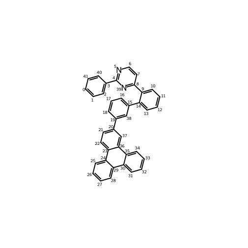 c1ccc(-c2nccc(-c3ccccc3-c3cccc(-c4ccc5c6ccccc6c6ccccc6c5c4)c3)n2)cc1